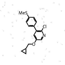 CSc1ccc(-c2cc(OCC3CC3)cnc2Cl)cc1